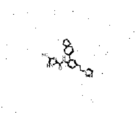 N#Cc1c[nH]c(C(=O)Nc2ccc(CCn3ccnc3)cc2C2=CCC3(CCCC3)CC2)n1